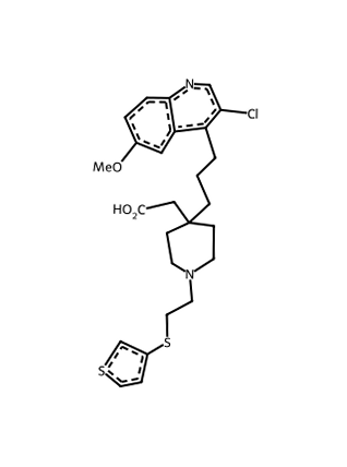 COc1ccc2ncc(Cl)c(CCCC3(CC(=O)O)CCN(CCSc4ccsc4)CC3)c2c1